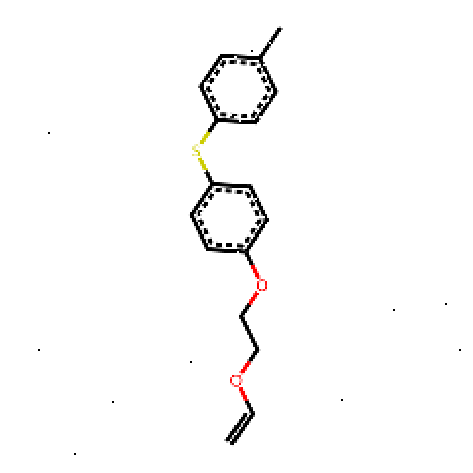 C=COCCOc1ccc(Sc2ccc(C)cc2)cc1